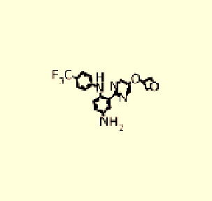 Nc1ccc(Nc2ccc(C(F)(F)F)cc2)c(-c2ncc(OC3COC3)cn2)c1